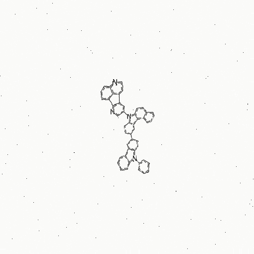 c1ccc(-n2c3ccccc3c3cc(-c4ccc5c(c4)c4c6ccccc6ccc4n5-c4cnc5c(c4)-c4ccnc6cccc-5c46)ccc32)cc1